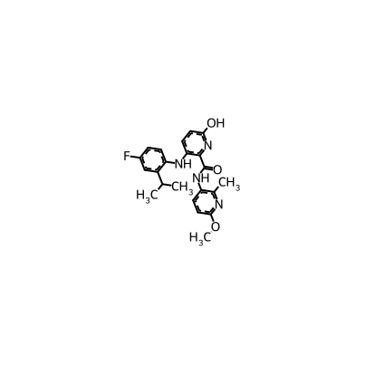 COc1ccc(NC(=O)c2nc(O)ccc2Nc2ccc(F)cc2C(C)C)c(C)n1